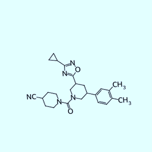 Cc1ccc(C2CC(c3nc(C4CC4)no3)CN(C(=O)N3CCC(C#N)CC3)C2)cc1C